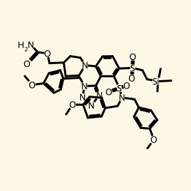 COc1ccc(CN(Cc2ccc(OC)cc2)S(=O)(=O)c2c(S(=O)(=O)CC[Si](C)(C)C)ccc(N3CCC(COC(N)=O)CC3)c2-c2nnnn2Cc2ccc(OC)cc2)cc1